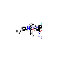 Cc1cccc(Cn2nc(C)c(NC(=O)c3cc(C(N)=O)c4ccc(F)cc4n3)c2C)c1